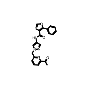 CC(=O)c1cccc(Cn2cc(NC(=O)c3ncoc3-c3ccccc3)cn2)n1